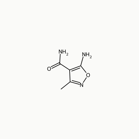 Cc1noc(N)c1C(N)=O